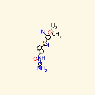 CC(C)Oc1ccc(-c2ncc(-c3cccc4c3CCC4CNC(=O)N3CC[C@@H](N)C3)s2)cc1C#N